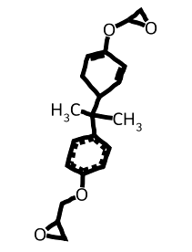 CC(C)(c1ccc(OCC2CO2)cc1)C1C=CC(OC2CO2)=CC1